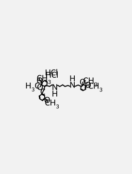 COc1cccc(CCc2c(CCNCCCCCCNCCc3cccc(OC)c3OC)ccc(OC)c2OC)c1.Cl.Cl